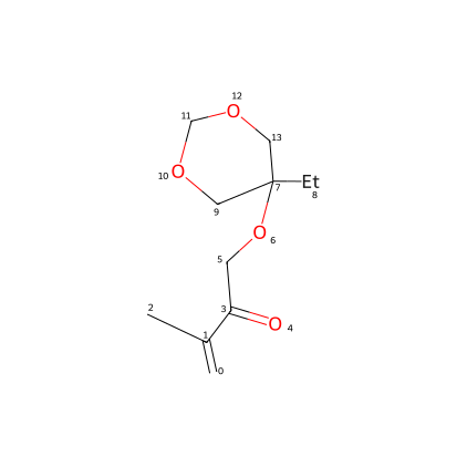 C=C(C)C(=O)COC1(CC)COCOC1